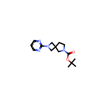 CC(C)(C)OC(=O)N1CCC2(C1)CN(c1ncccn1)C2